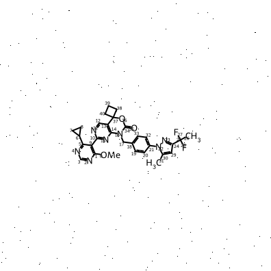 COc1ncnc(C2CC2)c1-c1ncc2c(n1)N(Cc1ccc(-n3nc(C(C)(F)F)cc3C)cc1)C(=O)OC21CCC1